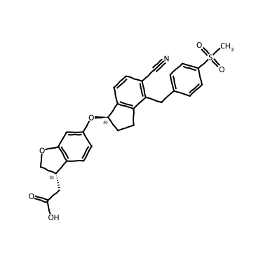 CS(=O)(=O)c1ccc(Cc2c(C#N)ccc3c2CC[C@H]3Oc2ccc3c(c2)OC[C@H]3CC(=O)O)cc1